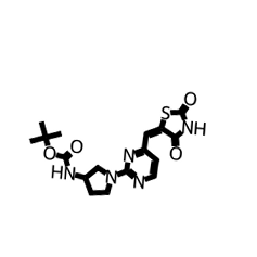 CC(C)(C)OC(=O)NC1CCN(c2nccc(C=C3SC(=O)NC3=O)n2)C1